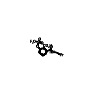 CC(C)CNC(=O)c1cccc(OS(=O)(=O)C(F)(F)F)c1C(=O)O